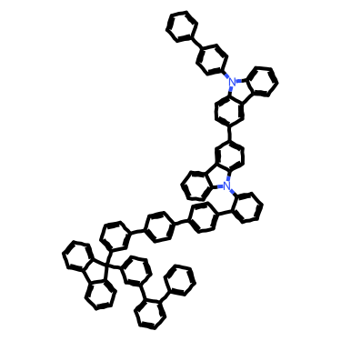 c1ccc(-c2ccc(-n3c4ccccc4c4cc(-c5ccc6c(c5)c5ccccc5n6-c5ccccc5-c5ccc(-c6ccc(-c7cccc(C8(c9cccc(-c%10ccccc%10-c%10ccccc%10)c9)c9ccccc9-c9ccccc98)c7)cc6)cc5)ccc43)cc2)cc1